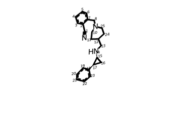 N#Cc1ccccc1CN1CCC(CN[C@@H]2C[C@H]2c2ccccc2)CC1